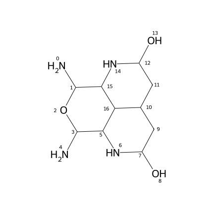 NC1OC(N)C2NC(O)CC3CC(O)NC1C32